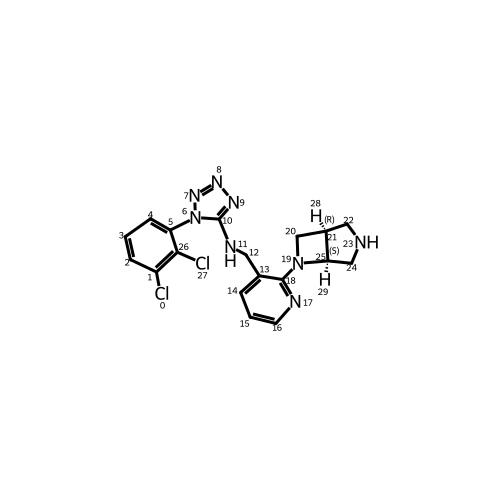 Clc1cccc(-n2nnnc2NCc2cccnc2N2C[C@H]3CNC[C@H]32)c1Cl